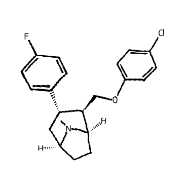 CN1[C@H]2CC[C@@H]1[C@H](COc1ccc(Cl)cc1)[C@@H](c1ccc(F)cc1)C2